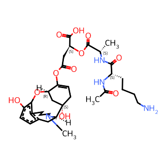 CC(=O)N[C@@H](CCCCN)C(=O)N[C@@H](C)C(=O)O[C@@H](CC(=O)OC1=CC[C@]2(O)C[C@H]1Oc1c(O)ccc3c1CCCN(C)[C@@H]2C3)C(=O)O